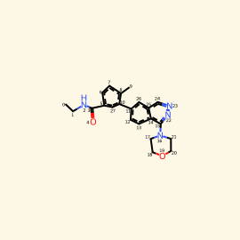 CCNC(=O)c1ccc(C)c(-c2ccc3c(N4CCOCC4)nncc3c2)c1